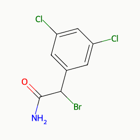 NC(=O)C(Br)c1cc(Cl)cc(Cl)c1